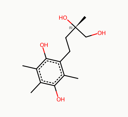 Cc1c(C)c(O)c(CC[C@](C)(O)CO)c(C)c1O